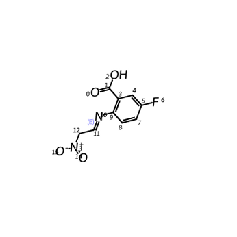 O=C(O)c1cc(F)ccc1/N=C/C[N+](=O)[O-]